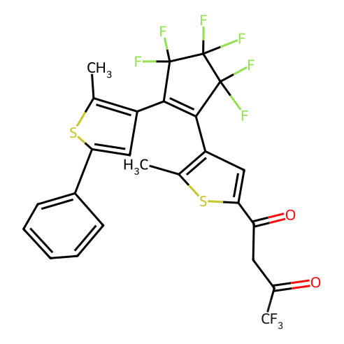 Cc1sc(C(=O)CC(=O)C(F)(F)F)cc1C1=C(c2cc(-c3ccccc3)sc2C)C(F)(F)C(F)(F)C1(F)F